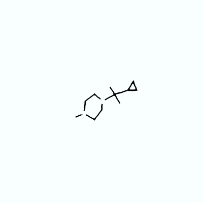 CN1CCN(C(C)(C)C2CC2)CC1